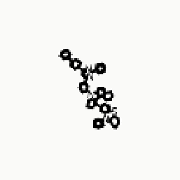 c1ccc(-c2ccc(-c3cc(-c4cccc(-n5c6cccc(-c7ccc8c(c7)N(c7ccccc7)c7ccccc7S8)c6c6c7ccccc7ccc65)c4)nc(-c4ccccc4)n3)cc2)cc1